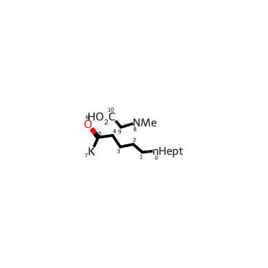 CCCCCCCCCCC[C](=O)[K].CNCC(=O)O